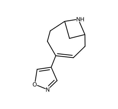 C1=C(c2cnoc2)CCC2CC(C1)N2